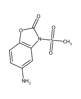 CS(=O)(=O)n1c(=O)oc2ccc(N)cc21